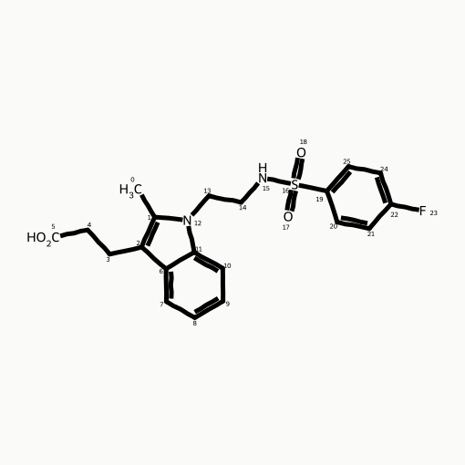 Cc1c(CCC(=O)O)c2ccccc2n1CCNS(=O)(=O)c1ccc(F)cc1